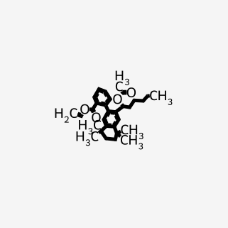 C=COC(=O)c1ccccc1-c1cc2c(cc1C(CCCCC)OC(C)=O)C(C)(C)CCC2(C)C